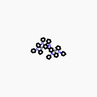 c1ccc(N2c3ccccc3B3c4cc5c(cc4N(c4ccccc4)c4cccc2c43)c2cc3c(c4c6ccccc6n5c24)N(c2ccccc2)c2cccc4c2B3c2ccccc2N4c2ccccc2)cc1